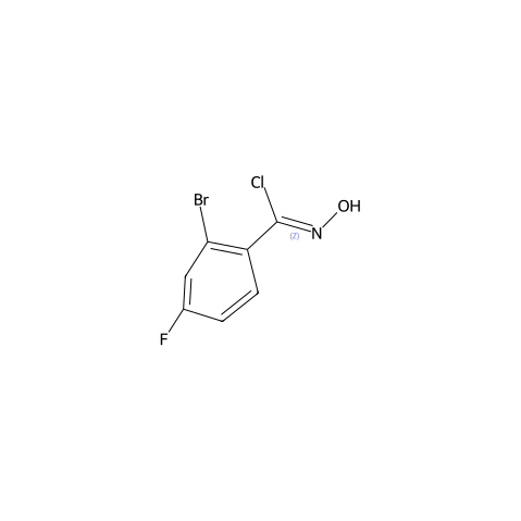 O/N=C(\Cl)c1ccc(F)cc1Br